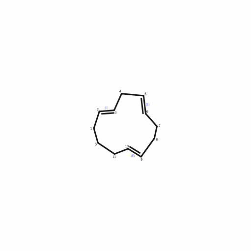 [CH]1C/C=C/C/C=C/CC/C=C/C1